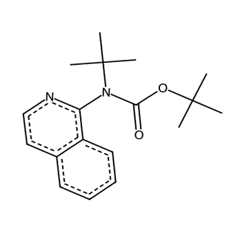 CC(C)(C)OC(=O)N(c1nccc2ccccc12)C(C)(C)C